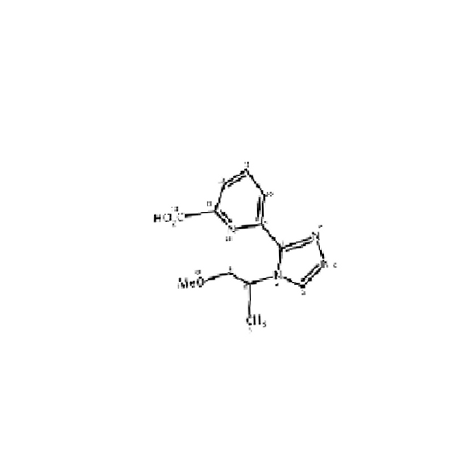 COCC(C)n1cnnc1-c1cccc(C(=O)O)n1